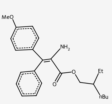 CCCCC(CC)COC(=O)/C(N)=C(\c1ccccc1)c1ccc(OC)cc1